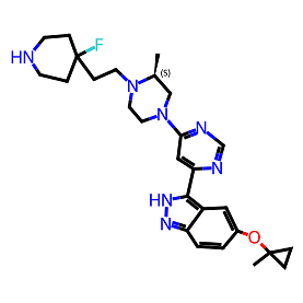 C[C@H]1CN(c2cc(-c3[nH]nc4ccc(OC5(C)CC5)cc34)ncn2)CCN1CCC1(F)CCNCC1